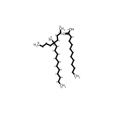 CCCCCCCCCCCC(=O)O.CCCCCCCCCCC[C]([Sn])(CCCC)CCCC